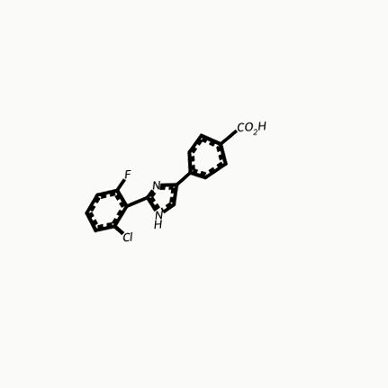 O=C(O)c1ccc(-c2c[nH]c(-c3c(F)cccc3Cl)n2)cc1